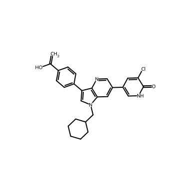 C=C(O)c1ccc(-c2cn(CC3CCCCC3)c3cc(-c4c[nH]c(=O)c(Cl)c4)cnc23)cc1